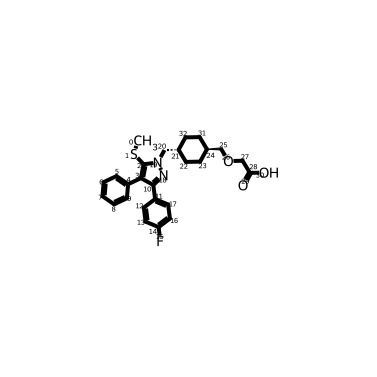 CSc1c(-c2ccccc2)c(-c2ccc(F)cc2)nn1C[C@H]1CC[C@H](COCC(=O)O)CC1